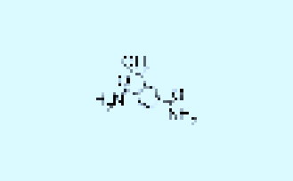 CC(CO)c1cc(C(N)=O)ccc1C(N)=O